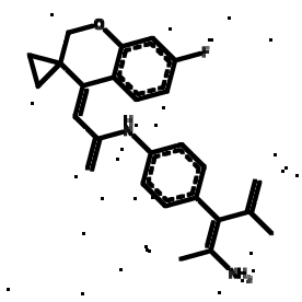 C=C(/C=C1\c2ccc(F)cc2OCC12CC2)Nc1ccc(/C(C(=C)C)=C(\C)N)cc1